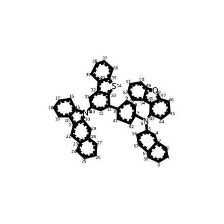 c1ccc2cc(N(c3ccc(-c4cc(-n5c6ccccc6c6cc7ccccc7cc65)cc5c4sc4ccccc45)cc3)c3cccc4oc5ccccc5c34)ccc2c1